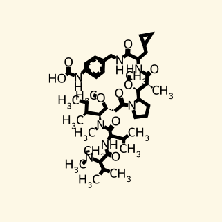 CC[C@H](C)[C@@H]([C@@H](CC(=O)N1CCCC1[C@H](OC)[C@@H](C)C(=O)NC(CC1CC1)C(=O)NCc1ccc(NC(=O)O)cc1)OC)N(C)C(=O)C(NC(=O)C(C(C)C)N(C)C)C(C)C